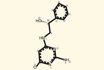 Nc1nc(Cl)cc(NC[C@H](O)c2ccccc2)n1